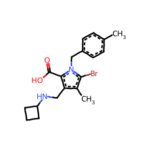 Cc1ccc(Cn2c(Br)c(C)c(CNC3CCC3)c2C(=O)O)cc1